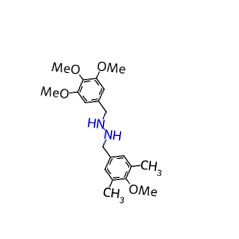 COc1cc(CNNCc2cc(C)c(OC)c(C)c2)cc(OC)c1OC